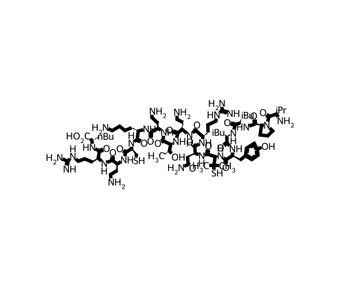 CCCC[C@H](NC(=O)[C@H](CCCNC(=N)N)NC(=O)[C@H](CCN)NC(=O)[C@H](CS)NC(=O)[C@H](CCCCN)NC(=O)[C@@H](CCN)NC(=O)[C@@H](NC(=O)[C@H](CCN)NC(=O)[C@H](CCCNC(=N)N)NC(=O)[C@H](CC(N)=O)NC(=O)[C@@H](NC(=O)[C@H](Cc1ccc(O)cc1)NC(=O)[C@@H](NC(=O)[C@@H](NC(=O)[C@@H]1CCCN1C(=O)[C@@H](N)C(C)C)[C@@H](C)CC)[C@@H](C)CC)C(C)(C)S)[C@@H](C)O)C(=O)O